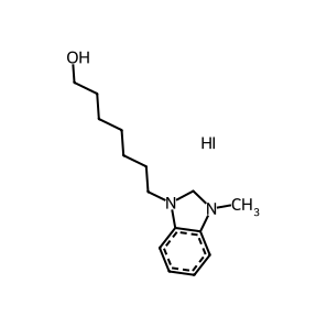 CN1CN(CCCCCCCO)c2ccccc21.I